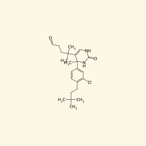 CC(C)(C)CCc1ccc(C2(C)NC(=O)NC=C2C(C)(C)CCC=O)cc1Cl